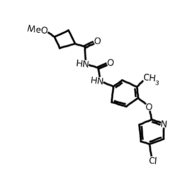 COC1CC(C(=O)NC(=O)Nc2ccc(Oc3ccc(Cl)cn3)c(C)c2)C1